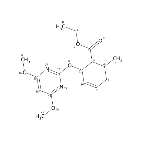 CCOC(=O)C1C(C)CC=CC1Oc1nc(OC)cc(OC)n1